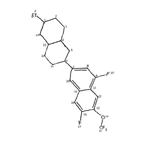 CCC1CCC2CC(c3cc(F)c4cc(OC(F)(F)F)c(F)cc4c3)CCC2C1